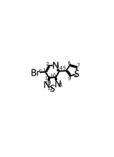 Brc1cnc(-c2ccsc2)c2nsnc12